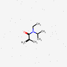 C=C(C)C(=O)N(CC)C(C)C